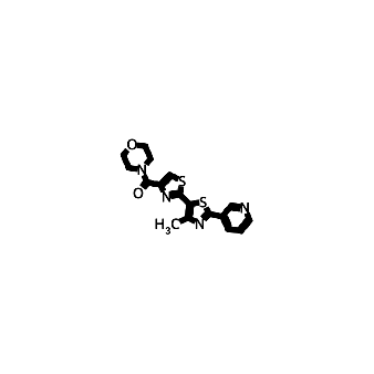 Cc1nc(-c2cccnc2)sc1-c1nc(C(=O)N2CCOCC2)cs1